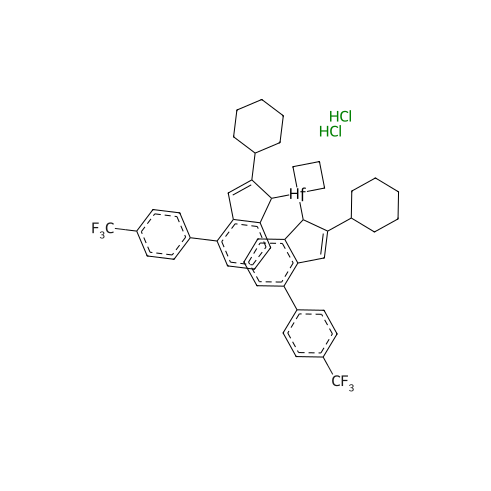 Cl.Cl.FC(F)(F)c1ccc(-c2cccc3c2C=C(C2CCCCC2)[CH]3[Hf]2([CH]3C(C4CCCCC4)=Cc4c(-c5ccc(C(F)(F)F)cc5)cccc43)[CH2]C[CH2]2)cc1